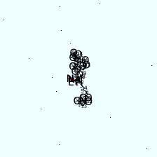 CCN(CCCCCC(=O)ON1C(=O)CCC1=O)c1ccc2cc(-c3sc(S(=O)(=O)[O-])cc3S(=O)(=O)[O-])c(=O)oc2c1.[Na+].[Na+]